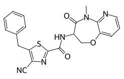 CN1C(=O)C(NC(=O)c2nc(C#N)c(Cc3ccccc3)s2)COc2cccnc21